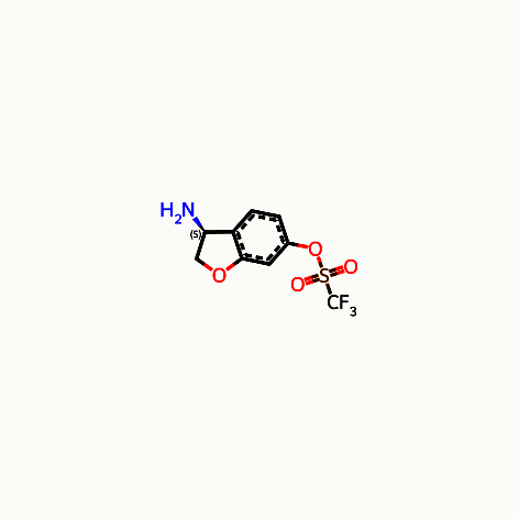 N[C@@H]1COc2cc(OS(=O)(=O)C(F)(F)F)ccc21